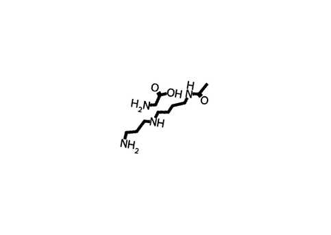 CC(=O)NCCCCNCCCN.NCC(=O)O